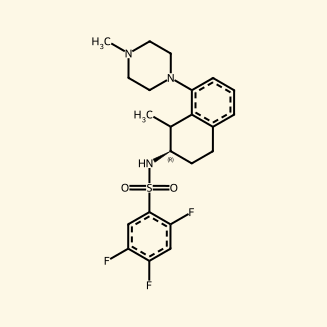 CC1c2c(cccc2N2CCN(C)CC2)CC[C@H]1NS(=O)(=O)c1cc(F)c(F)cc1F